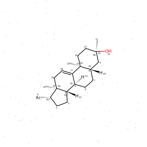 CC(=O)[C@H]1CC[C@H]2[C@@H]3CC[C@H]4C[C@](C)(O)CC[C@]4(C)C3=CC[C@]12C